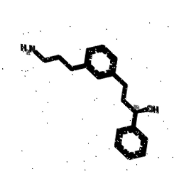 NCCCc1cccc(CC[C@@H](O)c2ccccc2)c1